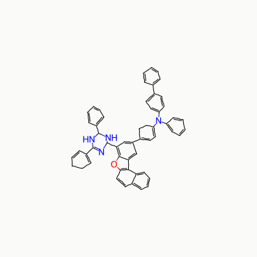 C1=CC(C2=NC(c3cc(C4=CC=C(N(c5ccccc5)c5ccc(-c6ccccc6)cc5)CC4)cc4c3oc3ccc5ccccc5c34)NC(c3ccccc3)N2)=CCC1